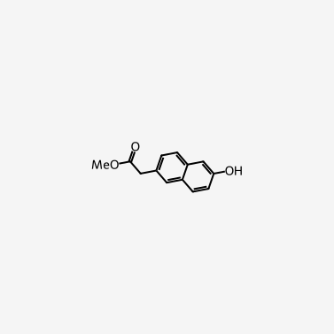 COC(=O)Cc1ccc2cc(O)ccc2c1